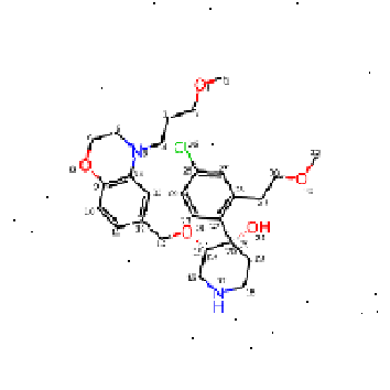 COCCCN1CCOc2ccc(CO[C@H]3CNCC[C@]3(O)c3ccc(Cl)cc3CCOC)cc21